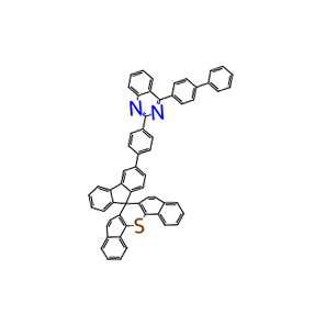 c1ccc(-c2ccc(-c3nc(-c4ccc(-c5ccc6c(c5)-c5ccccc5C65c6ccc7ccccc7c6Sc6c5ccc5ccccc65)cc4)nc4ccccc34)cc2)cc1